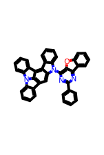 c1ccc(-c2nc(-n3c4ccccc4c4c5c6ccccc6n6c7ccccc7c(cc43)c56)c3oc4ccccc4c3n2)cc1